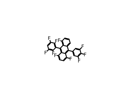 Fc1cc(-c2c3cccc(F)c3c(-c3c(F)c(F)cc(F)c3F)c3c(F)ccc(F)c23)cc(F)c1F